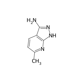 Cc1ccc2c(N)n[nH]c2n1